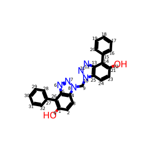 Oc1ccc2c(nnn2Cn2nnc3c(-c4ccccc4)c(O)ccc32)c1-c1ccccc1